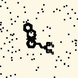 CN(C)CCc1cccc2c1C1Cc3ccccc3C2C1